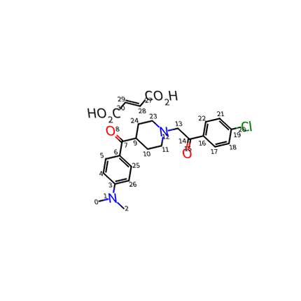 CN(C)c1ccc(C(=O)C2CCN(CC(=O)c3ccc(Cl)cc3)CC2)cc1.O=C(O)C=CC(=O)O